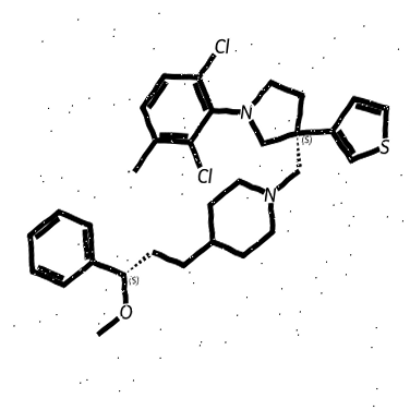 [CH2]c1ccc(Cl)c(N2CC[C@@](CN3CCC(CC[C@H](OC)c4ccccc4)CC3)(c3ccsc3)C2)c1Cl